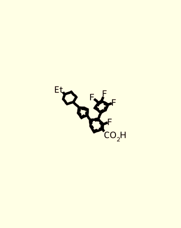 CCC1CCC(c2ccc(-c3ccc(C(=O)O)c(F)c3-c3cc(F)c(F)c(F)c3)cc2)CC1